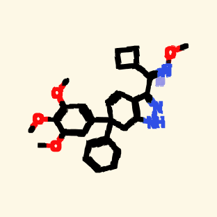 CO/N=C(/c1n[nH]c2c1C=CC(c1ccccc1)(c1cc(OC)c(OC)c(OC)c1)C2)C1CCC1